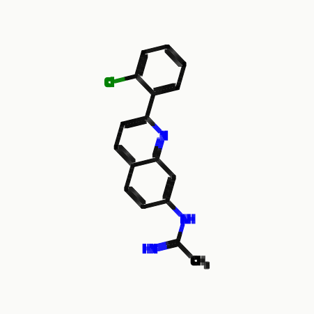 CC(=N)Nc1ccc2ccc(-c3ccccc3Cl)nc2c1